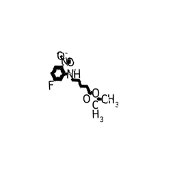 CC(C)OC(=O)CCCCNc1cc(F)ccc1[N+](=O)[O-]